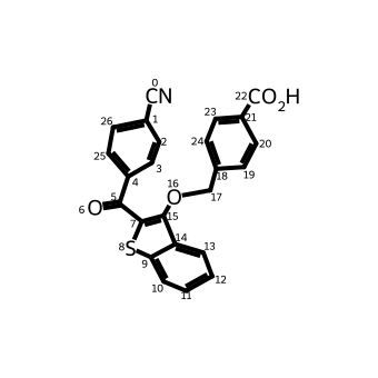 N#Cc1ccc(C(=O)c2sc3ccccc3c2OCc2ccc(C(=O)O)cc2)cc1